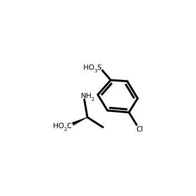 C[C@H](N)C(=O)O.O=S(=O)(O)c1ccc(Cl)cc1